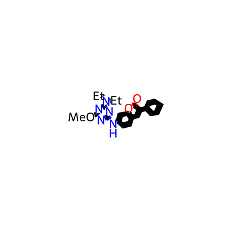 CCN(CC)c1nc(Nc2ccc3cc(-c4ccccc4)c(=O)oc3c2)nc(OC)n1